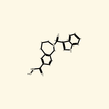 O=C(NO)c1ccc2c(c1)CCCN(C(=O)c1csc3ccccc13)C2